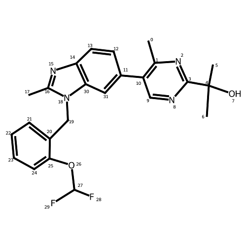 Cc1nc(C(C)(C)O)ncc1-c1ccc2nc(C)n(Cc3ccccc3OC(F)F)c2c1